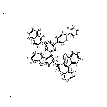 c1ccc(-c2ccc(-c3nc(-c4ccc5ccccc5c4)nc(-c4cc(-c5cc6ccccc6c6c5oc5ccccc56)cc5oc6ccccc6c45)n3)cc2)cc1